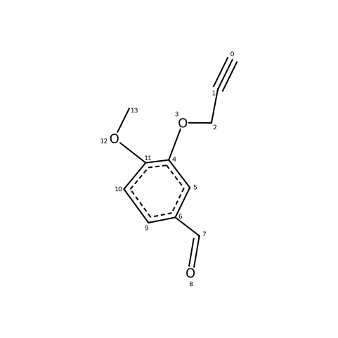 C#CCOc1cc(C=O)ccc1OC